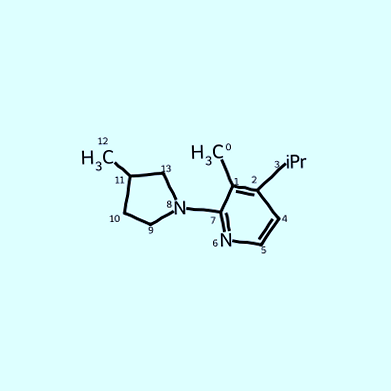 Cc1c(C(C)C)ccnc1N1CCC(C)C1